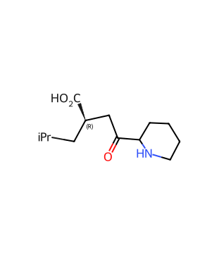 CC(C)C[C@H](CC(=O)C1CCCCN1)C(=O)O